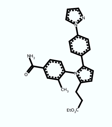 CCOC(=O)CCc1ccc(-c2ccc(-n3cccn3)cc2)n1-c1ccc(C(N)=O)cc1C